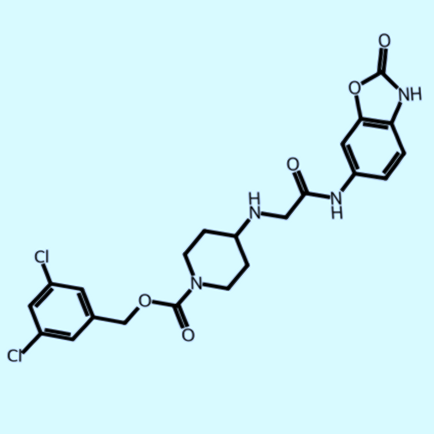 O=C(CNC1CCN(C(=O)OCc2cc(Cl)cc(Cl)c2)CC1)Nc1ccc2[nH]c(=O)oc2c1